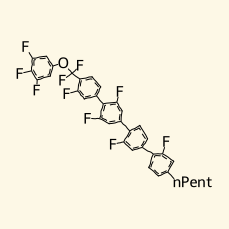 CCCCCc1ccc(-c2ccc(-c3cc(F)c(-c4ccc(C(F)(F)Oc5cc(F)c(F)c(F)c5)c(F)c4)c(F)c3)c(F)c2)c(F)c1